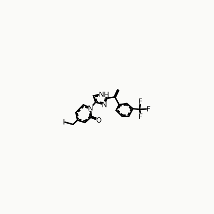 C=C(c1cccc(C(F)(F)F)c1)c1nc(-n2ccc(CI)cc2=O)c[nH]1